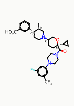 C[C@H]1CN([C@@H]2CC[C@@](C(=O)N3CCN(c4cc(F)cc(C(F)(F)F)c4)CC3)(C3CC3)OC2)CC[C@@H]1c1cccc(C(=O)O)c1